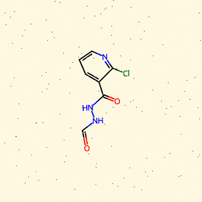 O=CNNC(=O)c1cccnc1Cl